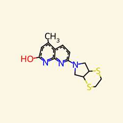 Cc1cc(O)nc2nc(N3CC4SCCSC4C3)ccc12